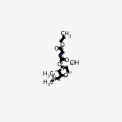 CCCOC(=O)/C=C/C(=O)ON1CCOC(CN(C)C)C1.Cl